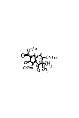 COC(=O)c1cn2c(c(OC)c1=O)C(=O)C(C)(C)C(OC)C2